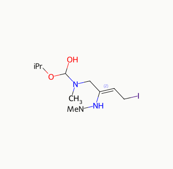 CNN/C(=C\CI)CN(C)C(O)OC(C)C